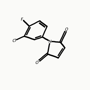 O=C1C=CC(=O)N1c1ccc(F)c(Cl)c1